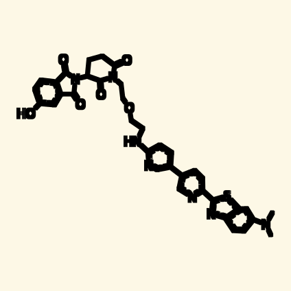 CN(C)c1ccc2nc(-c3ccc(-c4ccc(NCCOCCN5C(=O)CCC(N6C(=O)c7ccc(O)cc7C6=O)C5=O)nc4)cn3)sc2c1